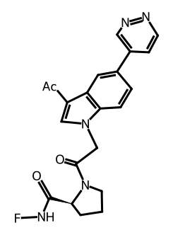 CC(=O)c1cn(CC(=O)N2CCC[C@H]2C(=O)NF)c2ccc(-c3ccnnc3)cc12